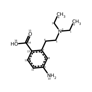 CCN(CC)CCc1cc(N)ccc1C(=O)O